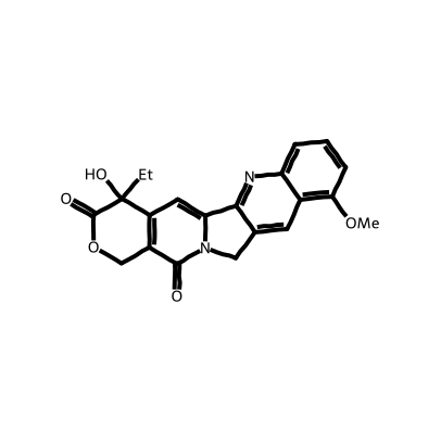 CCC1(O)C(=O)OCc2c1cc1n(c2=O)Cc2cc3c(OC)cccc3nc2-1